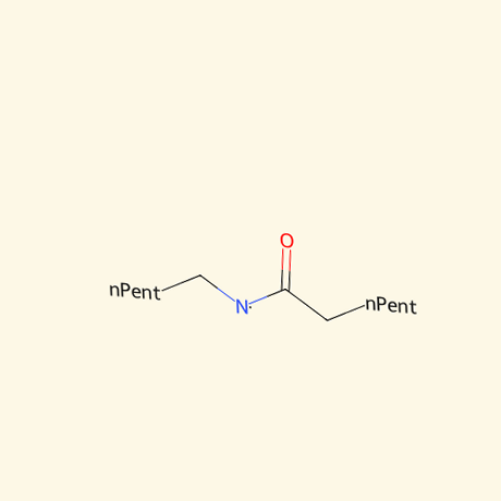 CCCCCC[N]C(=O)CCCCCC